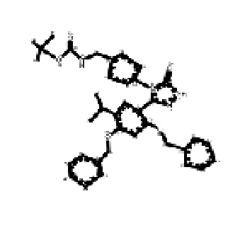 CC(C)c1cc(-c2n[nH]c(=O)n2-c2ccc(CNC(=O)OC(C)(C)C)cc2)c(OCc2ccccc2)cc1OCc1ccccc1